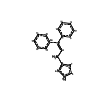 C([SiH2]c1nc[nH]n1)=C(c1ccccc1)c1ccccc1